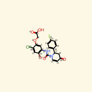 O=C(O)COc1cc(NC(=O)N2C=CC(=O)CC2c2ccc(F)cc2)c(Br)cc1Cl